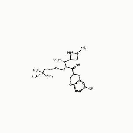 C[C@H](C1CN(C)N1)N(COCC[Si](C)(C)C)C(=N)C1COc2ccc(O)cc2C1